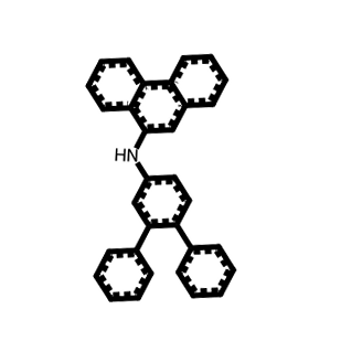 c1ccc(-c2ccc(Nc3cc4ccccc4c4ccccc34)cc2-c2ccccc2)cc1